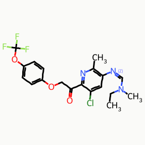 CCN(C)/C=N\c1cc(Cl)c(C(=O)COc2ccc(OC(F)(F)F)cc2)nc1C